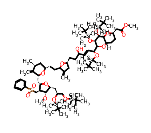 C=C1C[C@H](CCC(O)/C=C/[C@H](O[Si](C)(C)C(C)(C)C)[C@@H]2O[C@H]3CC[C@H](CC(=O)OC)O[C@@H]3[C@H](O[Si](C)(C)C(C)(C)C)[C@@H]2O[Si](C)(C)C(C)(C)C)OC1CC[C@H]1C[C@@H](C)C(=C)[C@@H](C[C@@H]2O[C@H](C[C@@H](CO[Si](C)(C)C(C)(C)C)O[Si](C)(C)C(C)(C)C)[C@H](OC)[C@H]2CS(=O)(=O)c2ccccc2)O1